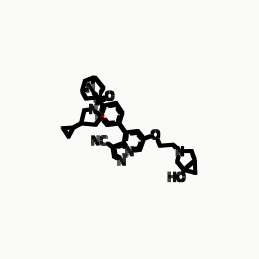 N#Cc1cnn2cc(OCCN3CC4CC4(O)C3)cc(-c3ccc(N4CC5CC(C4)N5C(=O)N4CCC(C5CC5)C4)nc3)c12